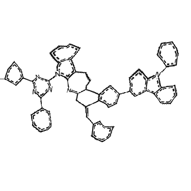 C(=C1\CC2=Nc3c(c4ccccc4n3-c3nc(-c4ccccc4)nc(-c4ccccc4)n3)CCC2c2cc(-c3ccc4c(c3)c3ccccc3n4-c3ccccc3)ccc21)/c1ccccc1